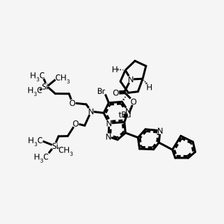 CC(C)(C)OC(=O)N1[C@@H]2CC[C@H]1C[C@H](c1nc3c(-c4ccc(-c5ccccc5)nc4)cnn3c(N(COCC[Si](C)(C)C)COCC[Si](C)(C)C)c1Br)C2